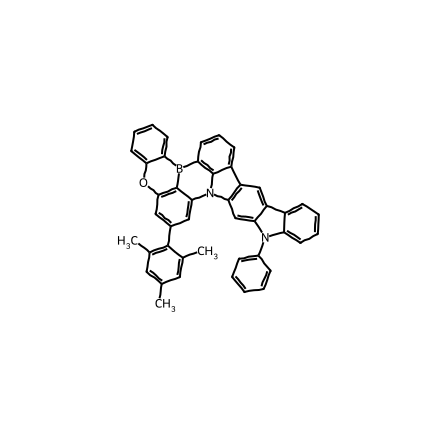 Cc1cc(C)c(-c2cc3c4c(c2)-n2c5cc6c(cc5c5cccc(c52)B4c2ccccc2O3)c2ccccc2n6-c2ccccc2)c(C)c1